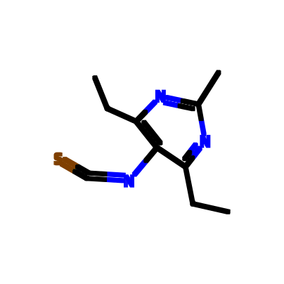 CCc1nc(C)nc(CC)c1N=C=S